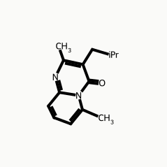 Cc1nc2cccc(C)n2c(=O)c1CC(C)C